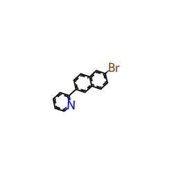 Brc1ccc2cc(-c3ccccn3)ccc2c1